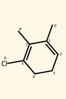 CC1=CCCC(Cl)=C1C